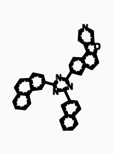 c1ccc2cc(-c3nc(-c4ccc5c(ccc6oc7cnccc7c65)c4)nc(-c4ccc5ccc6ccccc6c5c4)n3)ccc2c1